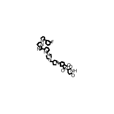 O=C1CCC(N2C(=O)c3ccc(N4CCC(CN5CCN(c6cccc(-c7cnc8ccc(N9CCC[C@@H]9c9cccc(F)c9)nn78)n6)CC5)CC4)cc3C2=O)C(=O)N1